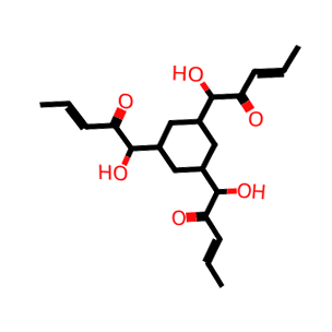 CC=CC(=O)C(O)C1CC(C(O)C(=O)C=CC)CC(C(O)C(=O)C=CC)C1